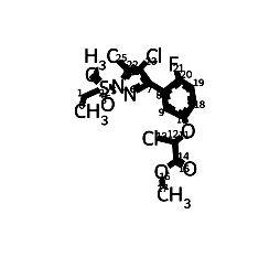 CCS(=O)(=O)n1nc(-c2cc(OC(Cl)C(=O)OC)ccc2F)c(Cl)c1C